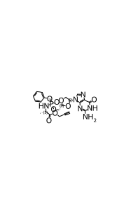 C#CCOC(=O)[C@H](C)NP(=O)(OC[C@@H]1OC[C@H](n2cnc3c(=O)[nH]c(N)nc32)O1)Oc1ccccc1